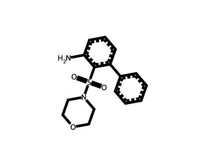 Nc1cccc(-c2ccccc2)c1S(=O)(=O)N1CCOCC1